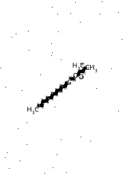 CCCCCCCCCCCCCCSCCOC(=O)CCC(C)C